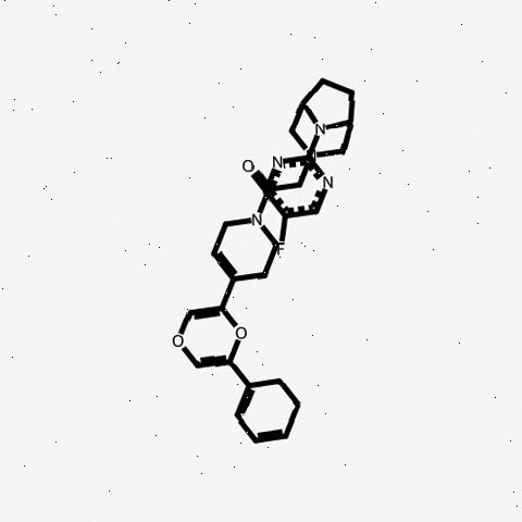 O=C(CN1CC2CCC(C1)N2c1ncc(F)cn1)N1CC=C(C2=COC=C(C3=CC=CCC3)O2)CC1